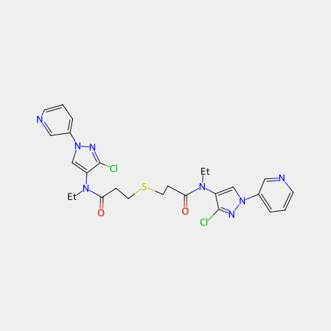 CCN(C(=O)CCSCCC(=O)N(CC)c1cn(-c2cccnc2)nc1Cl)c1cn(-c2cccnc2)nc1Cl